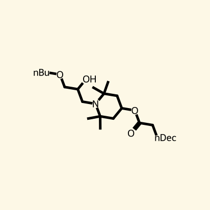 CCCCCCCCCCCC(=O)OC1CC(C)(C)N(CC(O)COCCCC)C(C)(C)C1